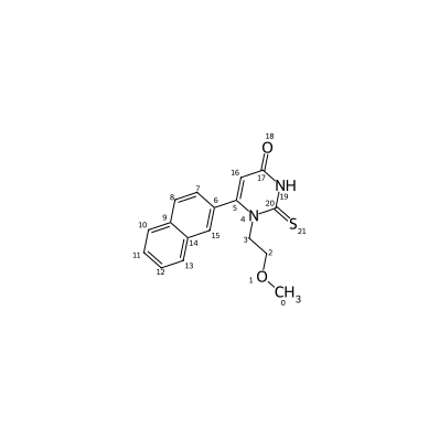 COCCn1c(-c2ccc3ccccc3c2)cc(=O)[nH]c1=S